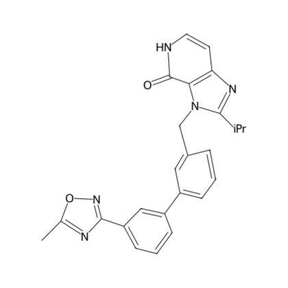 Cc1nc(-c2cccc(-c3cccc(Cn4c(C(C)C)nc5cc[nH]c(=O)c54)c3)c2)no1